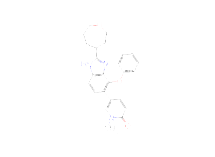 Cn1cc(-c2ccc3[nH]c(C4CCCOCC4)nc3c2Oc2ccccc2)ccc1=O